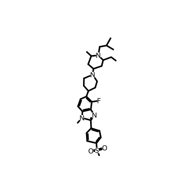 CCC1CC(N2CCC(c3ccc4c(nc(-c5ccc(S(C)(=O)=O)cc5)n4C)c3F)CC2)CC(C)N1CC(C)C